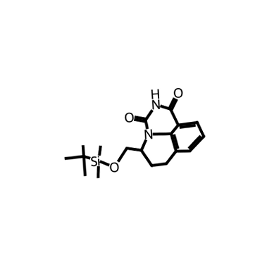 CC(C)(C)[Si](C)(C)OCC1CCc2cccc3c(=O)[nH]c(=O)n1c23